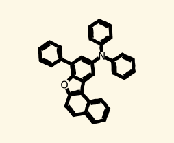 c1ccc(-c2cc(N(c3ccccc3)c3ccccc3)cc3c2oc2ccc4ccccc4c23)cc1